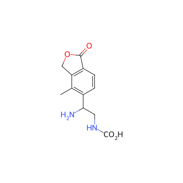 Cc1c(C(N)CNC(=O)O)ccc2c1COC2=O